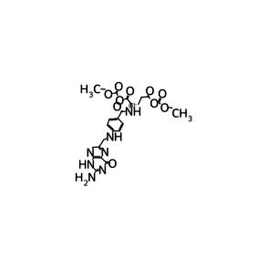 CCOC(=O)OC(=O)CC[C@H](NC(=O)c1ccc(NCc2cnc3[nH]c(N)nc(=O)c3n2)cc1)C(=O)OC(=O)OCC